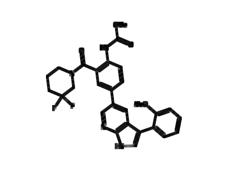 COC(=O)Nc1ccc(-c2cnc3[nH]cc(-c4ccccc4OC)c3c2)cc1C(=O)N1CCCC(F)(F)C1